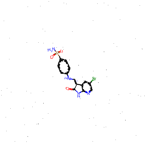 NS(=O)(=O)c1ccc(N/C=C2\C(=O)Nc3ncc(Br)cc32)cc1